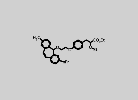 CCCc1ccc2c(c1)C(OCCOc1ccc(CC(OCC)C(=O)OCC)cc1)c1ccc(C)cc1C=C2